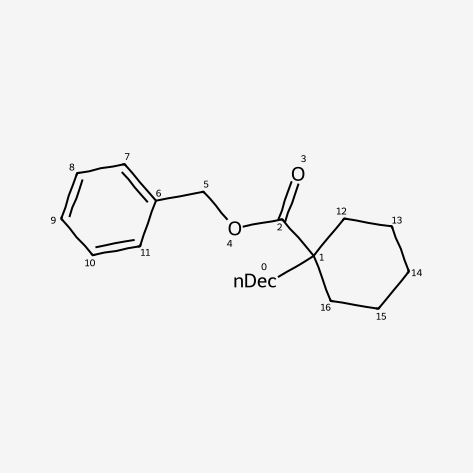 CCCCCCCCCCC1(C(=O)OCc2ccccc2)CCCCC1